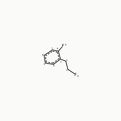 F[CH]Cc1ccccc1F